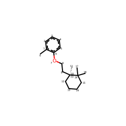 Cc1ccccc1OCC[C@]1(C)CCCCC1(C)C